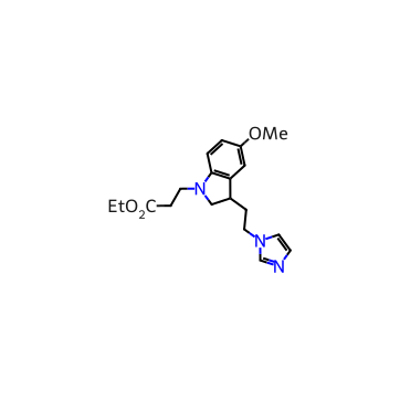 CCOC(=O)CCN1CC(CCn2ccnc2)c2cc(OC)ccc21